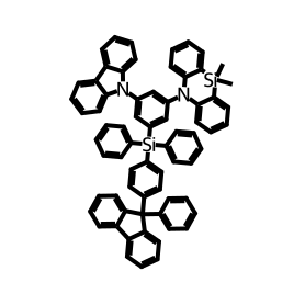 C[Si]1(C)c2ccccc2N(c2cc(-n3c4ccccc4c4ccccc43)cc([Si](c3ccccc3)(c3ccccc3)c3ccc(C4(c5ccccc5)c5ccccc5-c5ccccc54)cc3)c2)c2ccccc21